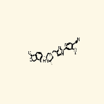 COc1cc(-n2ncc(CN3C[C@@H](c4ccc5c(c4C)COC5=O)N[C@@H](C)C3)n2)ncc1C#N